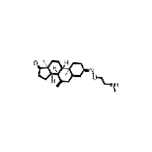 C=C1CC2C/C(=N\OCCNC)CC[C@]2(C)[C@H]2CC[C@]3(C)C(=O)CC[C@H]3[C@H]12